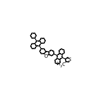 Cc1cscc1-c1c2ccccc2c(-c2ccc3c(c2)oc2ccc(-c4c5ccccc5c(-c5ccccc5)c5ccccc45)cc23)c2ccccc12